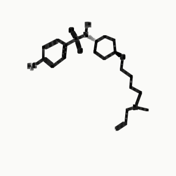 C=CCN(C)CCCCO[C@H]1CC[C@H](N(CC)S(=O)(=O)c2ccc(C(F)(F)F)cc2)CC1